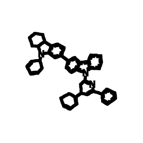 C1=CCCC(C2C=C(c3ccccc3)N=C(n3c4ccccc4c4cc(-c5ccc6c(c5)N(C5C=CC=CC5)C5CCCCC65)ccc43)C2)=C1